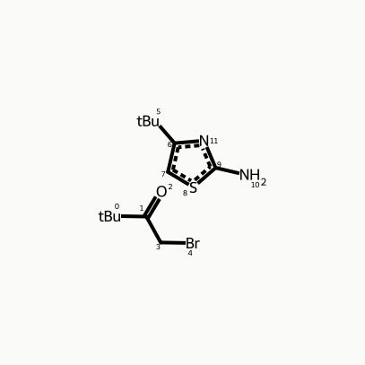 CC(C)(C)C(=O)CBr.CC(C)(C)c1csc(N)n1